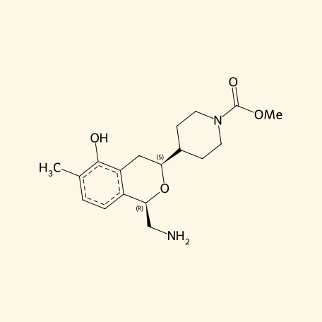 COC(=O)N1CCC([C@@H]2Cc3c(ccc(C)c3O)[C@H](CN)O2)CC1